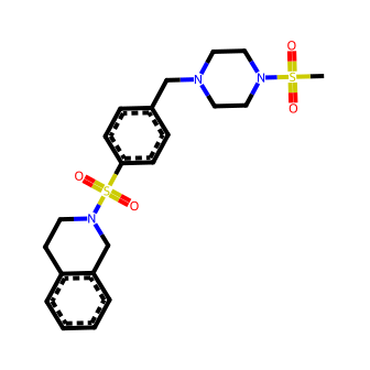 CS(=O)(=O)N1CCN(Cc2ccc(S(=O)(=O)N3CCc4ccccc4C3)cc2)CC1